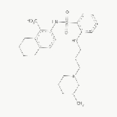 CC1CCCN(CCCNc2ccccc2S(=O)(=O)Nc2ccc3c(c2C(=O)O)CCCC3)C1